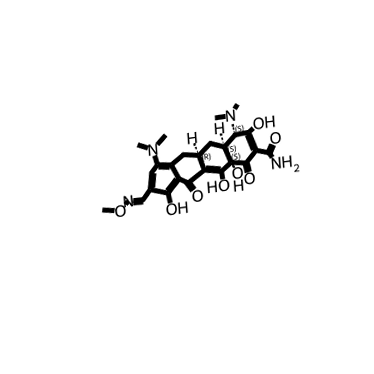 CON=Cc1cc(N(C)C)c2c(c1O)C(=O)C1=C(O)[C@]3(O)C(=O)C(C(N)=O)=C(O)[C@@H](N(C)C)[C@@H]3C[C@@H]1C2